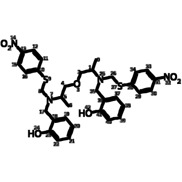 CC(COCC(C)N(CSc1ccc([N+](=O)[O-])cc1)Cc1ccccc1O)N(CSc1ccc([N+](=O)[O-])cc1)Cc1ccccc1O